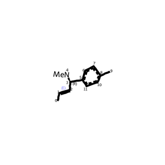 C/C=C/[C@@H](NC)c1ccc(C)cc1